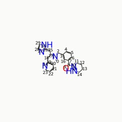 CN(Cc1cccc(C(=O)N2CCCCN2)c1)C(Cc1ccccn1)Cc1ncc[nH]1